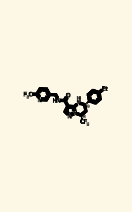 CCc1ccc([C@@H]2C[C@H](C(F)(F)F)n3ncc(C(=O)NCc4ccc(C(F)(F)F)nc4)c3N2)cc1